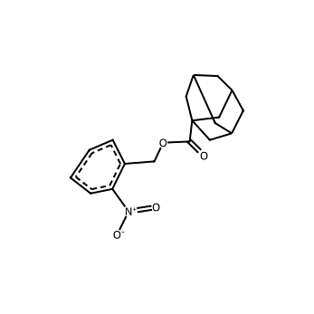 O=C(OCc1ccccc1[N+](=O)[O-])C12CC3CC(CC(C3)C1)C2